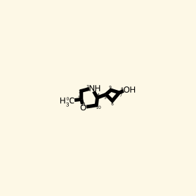 CC1CNC(C2CC(O)C2)CO1